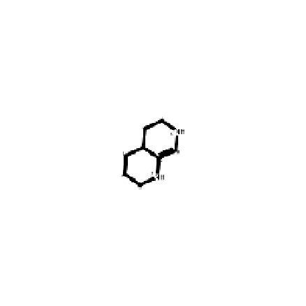 C1=C2NCCCC2CCN1